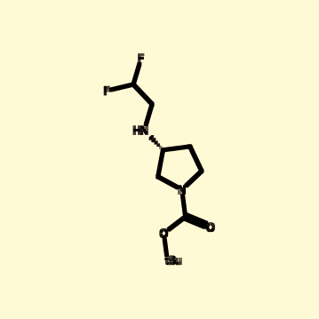 CC(C)(C)OC(=O)N1CC[C@@H](NCC(F)F)C1